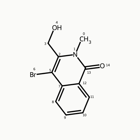 Cn1c(CO)c(Br)c2ccccc2c1=O